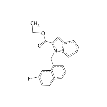 CCOC(=O)c1cc2ccccc2n1Cc1cccc2ccc(F)cc12